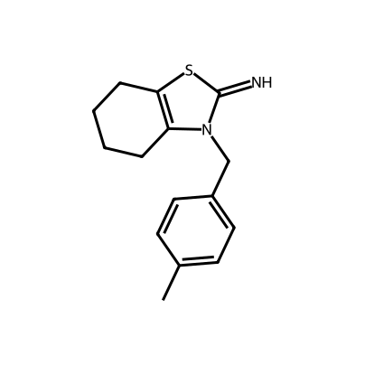 Cc1ccc(Cn2c3c(sc2=N)CCCC3)cc1